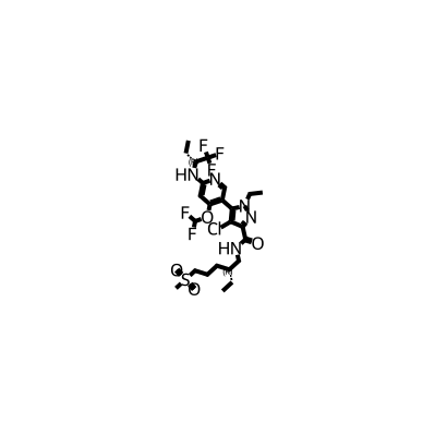 CC[C@H](CCCS(C)(=O)=O)CNC(=O)c1nn(CC)c(-c2cnc(N[C@H](CC)C(F)(F)F)cc2OC(F)F)c1Cl